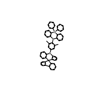 Cc1cc(N2c3ccccc3C3(c4ccccc4-c4ccccc43)c3ccccc32)cc(C)c1B1c2ccccc2[Si](c2ccccc2)(c2ccccc2)c2ccccc21